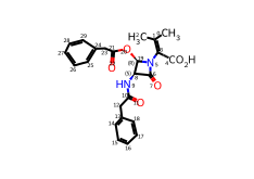 CC(C)=C(C(=O)O)N1C(=O)[C@@H](NC(=O)Cc2ccccc2)[C@H]1OC(=O)Cc1ccccc1